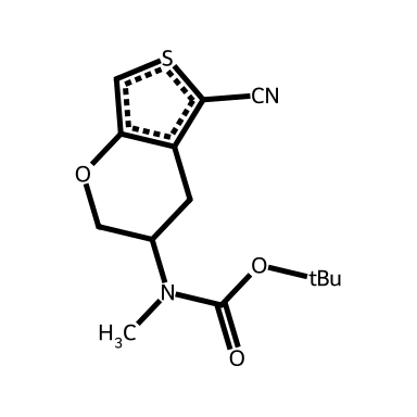 CN(C(=O)OC(C)(C)C)C1COc2csc(C#N)c2C1